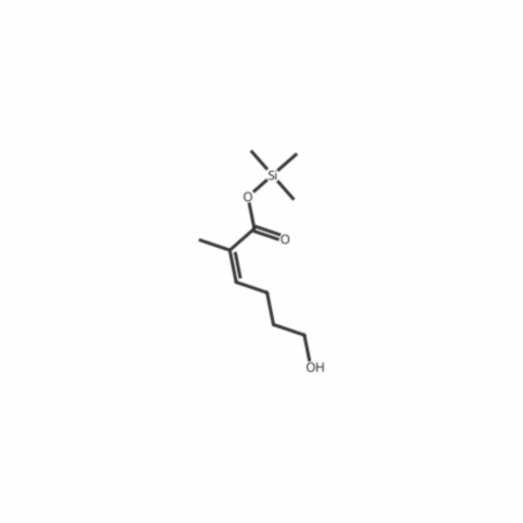 CC(=CCCCO)C(=O)O[Si](C)(C)C